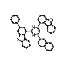 c1ccc(-c2cc(-c3nc(-c4ccc5ccccc5c4)cc(-c4cccc5oc6ccccc6c45)n3)c3c(c2)sc2ccccc23)cc1